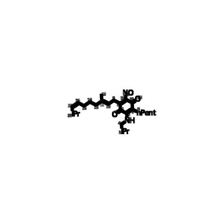 CCCCCC1=C(NCC(C)C)C(=O)C(C/C=C(\C)CCC/C=C\C(C)C)=C(N=O)C1=O